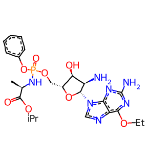 CCOc1nc(N)nc2c1ncn2[C@@H]1O[C@H](COP(=O)(N[C@H](C)C(=O)OC(C)C)Oc2ccccc2)[C@@H](O)[C@H]1N